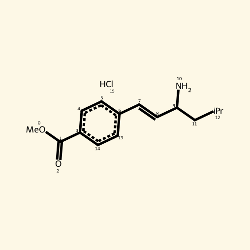 COC(=O)c1ccc(C=CC(N)CC(C)C)cc1.Cl